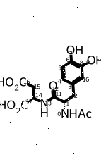 CC(=O)N[C@@H](Cc1ccc(O)c(O)c1)C(=O)N[C@H](CC(=O)O)C(=O)O